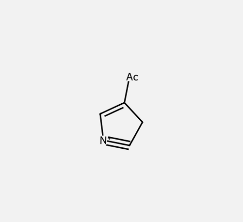 CC(=O)C1=C[N+]#CC1